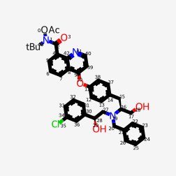 CC(=O)ON(C(=O)c1cccc2c(Oc3ccc(C[C@@H](CO)N(Cc4ccccc4)C[C@@H](O)c4cccc(Cl)c4)cc3)ccnc12)C(C)(C)C